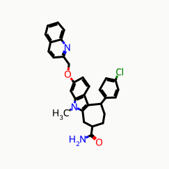 Cn1c2c(c3ccc(OCc4ccc5ccccc5n4)cc31)C(c1ccc(Cl)cc1)CCC(C(N)=O)C2